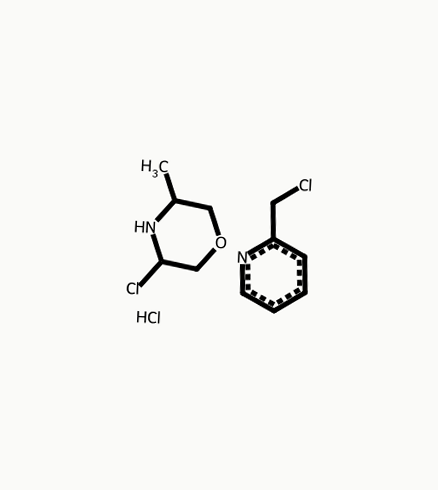 CC1COCC(Cl)N1.Cl.ClCc1ccccn1